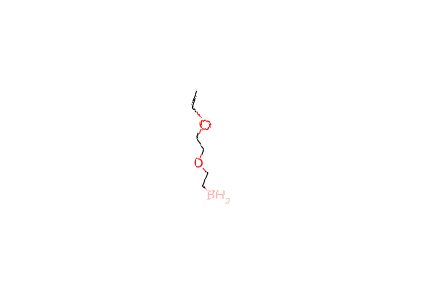 BCCOCCOCC